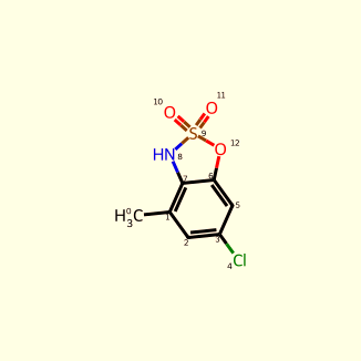 Cc1cc(Cl)cc2c1NS(=O)(=O)O2